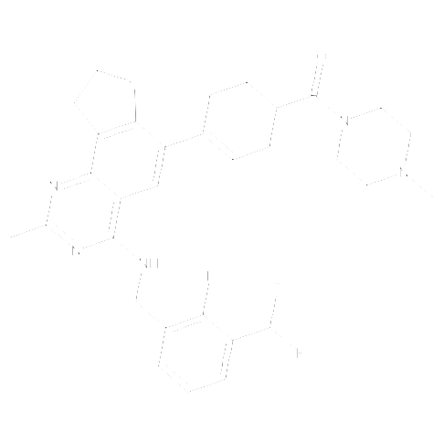 Cc1nc(NCc2cccc(C(F)F)c2F)c2cc(C3=CCC(C(=O)N4CCN(C)CC4)CC3)c3c(c2n1)CCO3